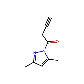 C#CCC(=O)n1nc(C)cc1C